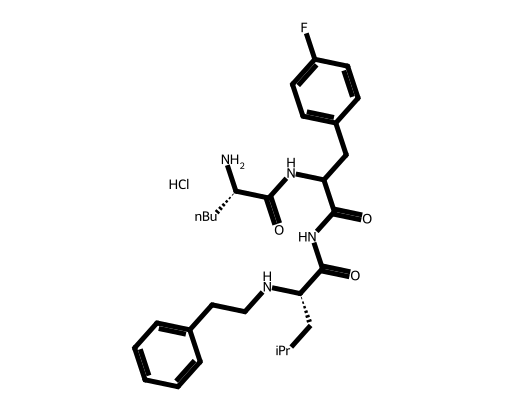 CCCC[C@H](N)C(=O)NC(Cc1ccc(F)cc1)C(=O)NC(=O)[C@H](CC(C)C)NCCc1ccccc1.Cl